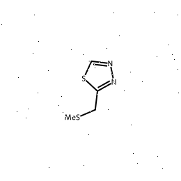 CSCc1nn[c]s1